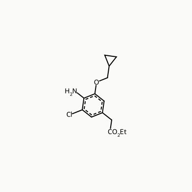 CCOC(=O)Cc1cc(Cl)c(N)c(OCC2CC2)c1